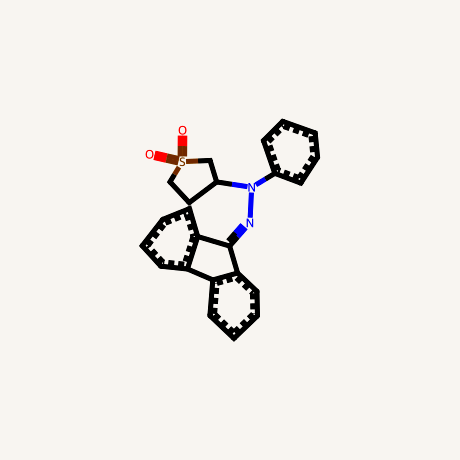 O=S1(=O)CCC(N(N=C2c3ccccc3-c3ccccc32)c2ccccc2)C1